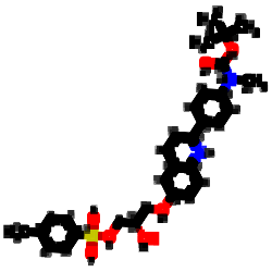 Cc1ccc(S(=O)(=O)OC[C@@H](O)COc2ccc3nc(-c4ccc(N(C)C(=O)OC(C)(C)C)cc4)ccc3c2)cc1